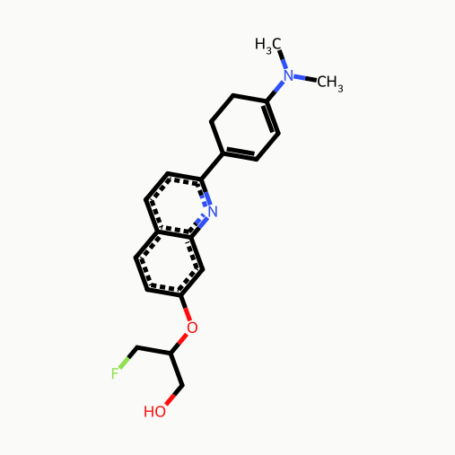 CN(C)C1=CC=C(c2ccc3ccc(OC(CO)CF)cc3n2)CC1